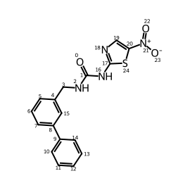 O=C(NCc1cccc(-c2ccccc2)c1)Nc1ncc([N+](=O)[O-])s1